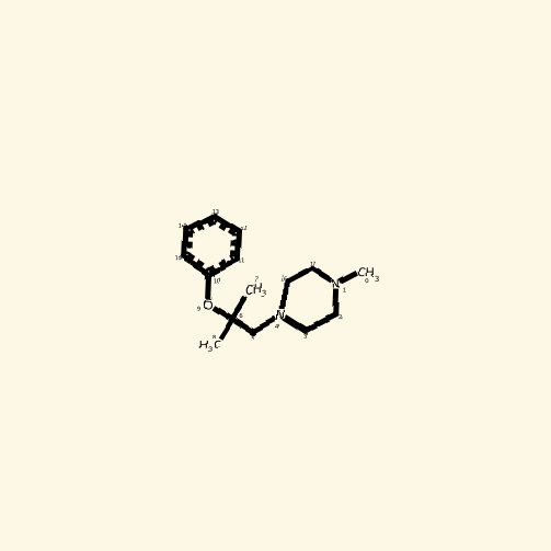 CN1CCN(CC(C)(C)Oc2cc[c]cc2)CC1